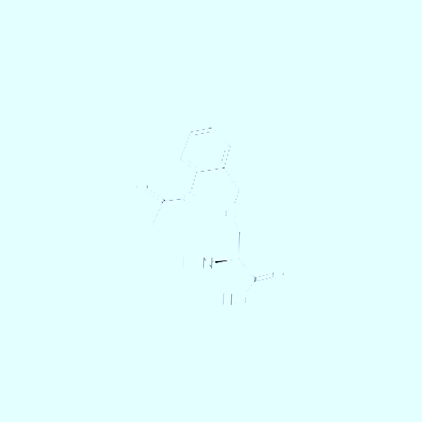 CC(=O)Oc1ccccc1COC[C@H](N)C(=O)O